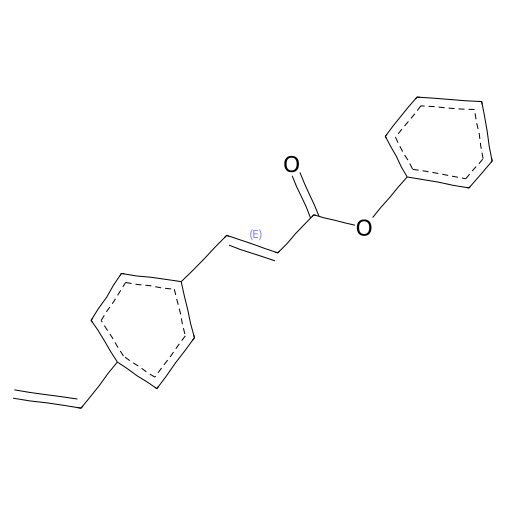 C=Cc1ccc(/C=C/C(=O)Oc2ccccc2)cc1